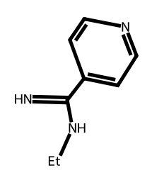 CCNC(=N)c1ccncc1